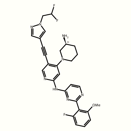 COc1cccc(F)c1-c1nccc(Nc2cc(N3CCC[C@H](N)C3)c(C#Cc3cnn(CC(F)F)c3)cn2)n1